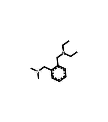 CCN(CC)Cc1ccccc1CN(C)C